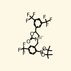 C[C@H]1C(c2cc(C(F)(F)F)cc(C(F)(F)F)c2)OC(=O)N1Cc1cc(C(F)(F)F)ccc1B1OC(C)(C)C(C)(C)O1